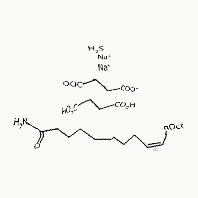 CCCCCCCC/C=C\CCCCCCCC(N)=O.O=C(O)CCC(=O)O.O=C([O-])CCC(=O)[O-].S.[Na+].[Na+]